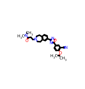 CC(C)Oc1ccc(-c2nc(-c3ccc4c(c3)CCN(CCC(=O)N(C)C)CC4)no2)cc1C#N